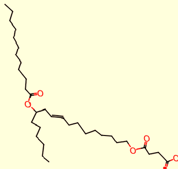 CCCCCCCCCCCC(=O)OC(CC=CCCCCCCCCOC(=O)CCC(=O)O)CCCCCC